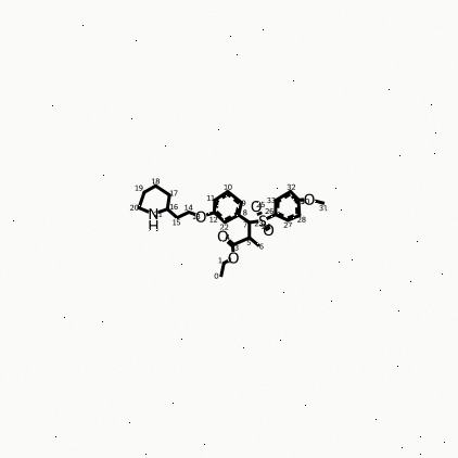 CCOC(=O)C(C)C(c1cccc(OCCC2CCCCN2)c1)S(=O)(=O)c1ccc(OC)cc1